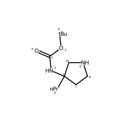 CCCC1(NC(=O)OC(C)(C)C)CCNC1